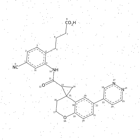 N#Cc1ccc(CCCC(=O)O)c(NC(=O)C2CC23CCOc2ccc(-c4ccnnc4)cc23)c1